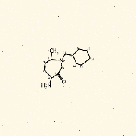 C[C@@H]1CC[C@H](N)C(=O)CN1CC1CCCCC1